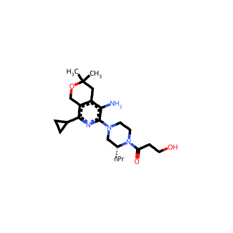 CCC[C@@H]1CN(c2nc(C3CC3)c3c(c2N)CC(C)(C)OC3)CCN1C(=O)CCO